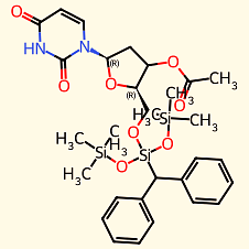 CC(=O)OC1C[C@H](n2ccc(=O)[nH]c2=O)O[C@@H]1CO[Si](O[Si](C)(C)C)(O[Si](C)(C)C)C(c1ccccc1)c1ccccc1